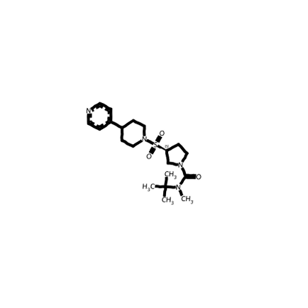 CN(C(=O)N1CC[C@H](S(=O)(=O)N2CCC(c3ccncc3)CC2)C1)C(C)(C)C